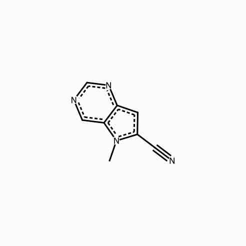 Cn1c(C#N)cc2ncncc21